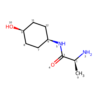 C[C@H](N)C(=O)N[C@H]1CC[C@@H](O)CC1